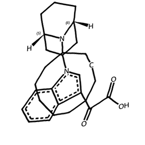 O=C(O)C(=O)c1cn(C2C[C@H]3CCC[C@@H](C2)N3C2CCCCCCCCC2)c2ccccc12